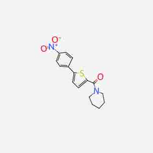 O=C(c1ccc(-c2ccc([N+](=O)[O-])cc2)s1)N1CCCCC1